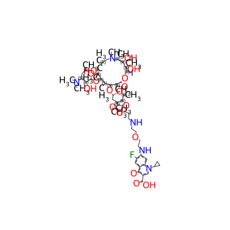 CO[C@]1(C)CC(O[C@H]2[C@H](C)[C@@H](OC3O[C@H](C)C[C@H](N(C)C)[C@H]3O)[C@](C)(O)C[C@@H](C)CN(C)[C@H](C)[C@@H](O)[C@](C)(O)[C@@H](I)OC(=O)[C@@H]2C)O[C@H](C)[C@H]1OC(=O)CCNCCOCCNc1cc2c(cc1F)c(=O)c(C(=O)O)cn2C1CC1